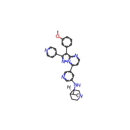 COc1cccc(-c2c(-c3ccncc3)nn3c(-c4cncc(N[C@H]5CN6CCC5CC6)c4)ccnc23)c1